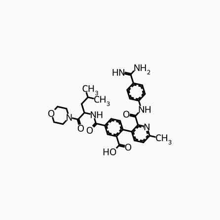 Cc1ccc(-c2ccc(C(=O)NC(CC(C)C)C(=O)N3CCOCC3)cc2C(=O)O)c(C(=O)Nc2ccc(C(=N)N)cc2)n1